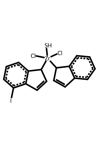 [SH][Zr]([Cl])([Cl])([CH]1C=Cc2ccccc21)[CH]1C=Cc2c(I)cccc21